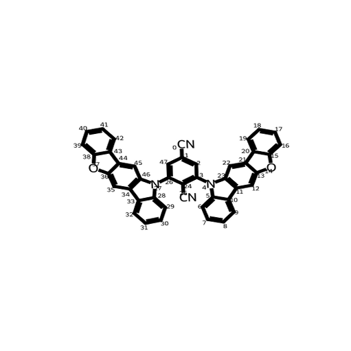 N#Cc1cc(-n2c3ccccc3c3cc4oc5ccccc5c4cc32)c(C#N)c(-n2c3ccccc3c3cc4oc5ccccc5c4cc32)c1